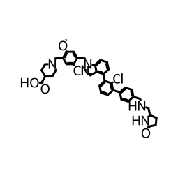 COc1cc(Cn2ncc3c(-c4cccc(-c5ccc(CNCC6CCC(=O)N6)cc5)c4Cl)cccc32)c(Cl)cc1CN1CCC(C(=O)O)CC1